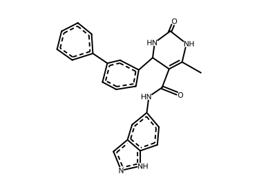 CC1=C(C(=O)Nc2ccc3[nH]ncc3c2)C(c2cccc(-c3ccccc3)c2)NC(=O)N1